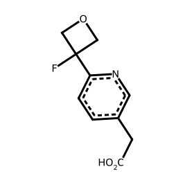 O=C(O)Cc1ccc(C2(F)COC2)nc1